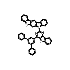 c1ccc(-c2cc(-c3ccccc3)cc(-c3nc(-n4c5ccccc5c5cc6c(cc54)sc4ccccc46)nc4c3oc3ccccc34)c2)cc1